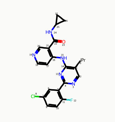 CC(C)c1cnc(-c2cc(Cl)ccc2F)nc1Nc1ccncc1C(=O)NC1CC1